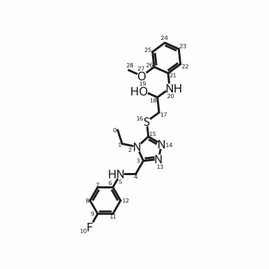 CCn1c(CNc2ccc(F)cc2)nnc1SCC(O)Nc1ccccc1OC